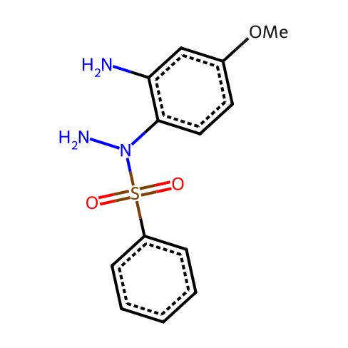 COc1ccc(N(N)S(=O)(=O)c2ccccc2)c(N)c1